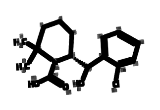 CC1(C)CCC[C@H](C(O)c2ccccc2Cl)N1C(=O)O